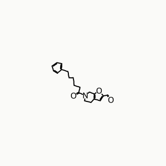 O=Cc1cc2c(o1)CN(C(=O)CCCCCc1ccccc1)CC2